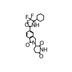 O=C1CCC(N2Cc3cc(C(=O)N[C@H](C4CCCCC4)C(F)(F)F)ccc3C2=O)C(=O)N1